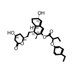 CCc1ccc(OC(CC)C(=O)OC2=CC3=C[C@@H](O)CC[C@@H]3[C@H](CC[C@@H]3C[C@@H](O)CC(=O)O3)[C@@H]2C)cc1